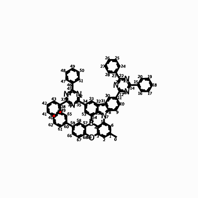 Cc1cc2c3c(c1)-n1c4ccc(-c5nc(-c6ccccc6)nc(-c6ccccc6)n5)cc4c4cc(-c5nc(-c6ccccc6)nc(-c6ccccc6)n5)cc(c41)B3c1cc(-c3ccccc3)ccc1O2